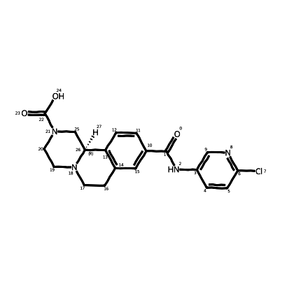 O=C(Nc1ccc(Cl)nc1)c1ccc2c(c1)CCN1CCN(C(=O)O)C[C@@H]21